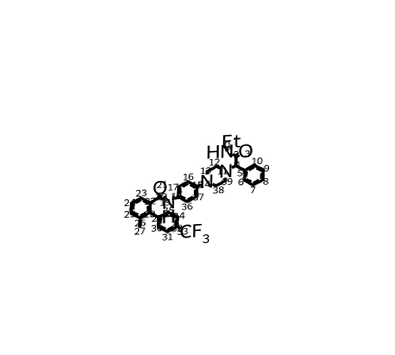 CCNC(=O)C(c1ccccc1)N1CCN(c2ccc(NC(=O)c3cccc(C)c3-c3ccc(C(F)(F)F)cc3)cc2)CC1